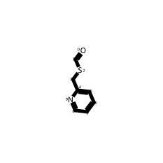 O=[C]SCc1ccccn1